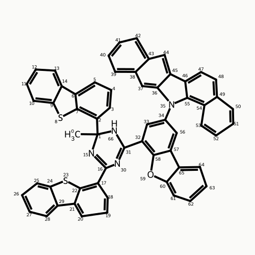 CC1(c2cccc3c2sc2ccccc23)N=C(c2cccc3c2sc2ccccc23)N=C(c2cc(-n3c4cc5ccccc5cc4c4ccc5ccccc5c43)cc3c2oc2ccccc23)N1